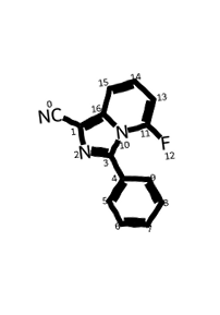 N#Cc1nc(-c2ccccc2)n2c(F)cccc12